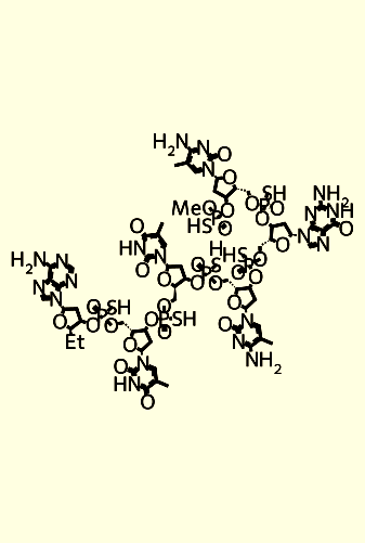 CC[C@H]1O[C@@H](n2cnc3c(N)ncnc32)CC1OP(=O)(S)OC[C@H]1O[C@@H](n2cc(C)c(=O)[nH]c2=O)CC1OP(=O)(S)OC[C@H]1O[C@@H](n2cc(C)c(=O)[nH]c2=O)CC1OP(=O)(S)OC[C@H]1O[C@@H](n2cc(C)c(N)nc2=O)CC1OP(=O)(S)OC[C@H]1O[C@@H](n2cnc3c(=O)[nH]c(N)nc32)CC1OP(=O)(S)OC[C@H]1O[C@@H](n2cc(C)c(N)nc2=O)CC1OP(=O)(S)OC